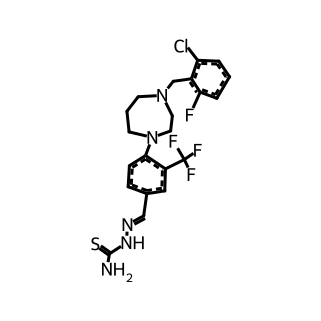 NC(=S)NN=Cc1ccc(N2CCCN(Cc3c(F)cccc3Cl)CC2)c(C(F)(F)F)c1